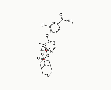 Cc1c(Oc2ccc(C(N)=O)cc2Cl)ncnc1OC1CC2COCC(C1)N2C(=O)OC1(C)CC1